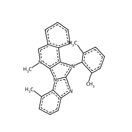 Cc1cccc(C)c1-n1c2c3ccccc3c[n+](C)c2n2c3c(C)cccc3nc12